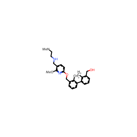 CNCCNCc1ccc(OCc2cccc(-c3cccc(CO)c3C)c2C)nc1OC